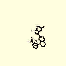 O=C(O)[C@@H]1C2CCC(CC2)[C@H]1N1CCCc2cnc(-c3c[nH]c4ncc(F)cc34)nc21